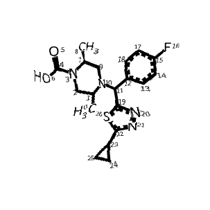 CC1CN(C(=O)O)[C@@H](C)CN1C(c1ccc(F)cc1)c1nnc(C2CC2)s1